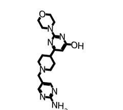 Nc1ncc(CN2CCC(c3cc(O)nc(N4CCOCC4)n3)CC2)cn1